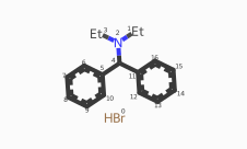 Br.CCN(CC)C(c1ccccc1)c1ccccc1